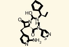 CC[C@@H](NC(O)N1C(=O)[C@H](Cc2ccnc(N)c2)[C@H]1C(=O)N(C)c1cnsc1)c1ccccc1